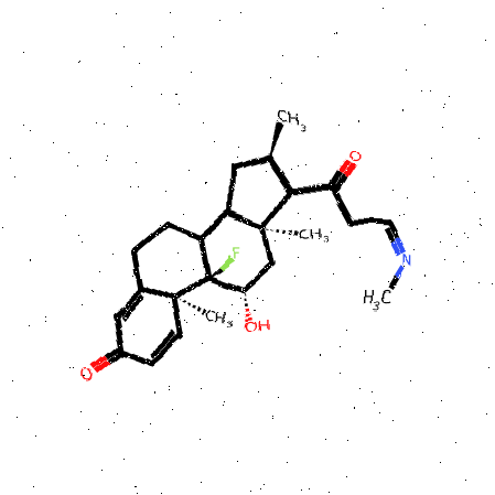 C/N=C\CC(=O)C1[C@H](C)CC2C3CCC4=CC(=O)C=C[C@]4(C)[C@@]3(F)[C@@H](O)C[C@@]21C